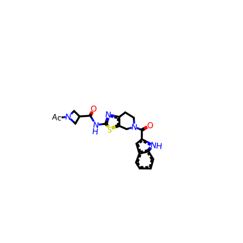 CC(=O)N1CC(C(=O)Nc2nc3c(s2)CN(C(=O)c2cc4ccccc4[nH]2)CC3)C1